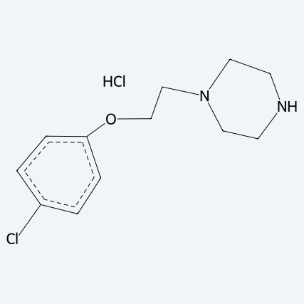 Cl.Clc1ccc(OCCN2CCNCC2)cc1